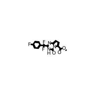 COC(=O)c1ccc2nc(C(F)(F)c3ccc(F)cc3)[nH]c(=O)n12